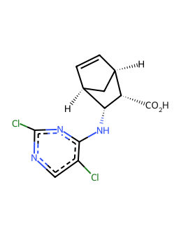 O=C(O)[C@@H]1[C@H](Nc2nc(Cl)ncc2Cl)[C@H]2C=C[C@@H]1C2